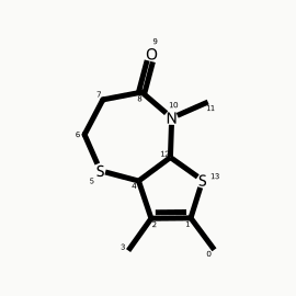 CC1=C(C)C2SCCC(=O)N(C)C2S1